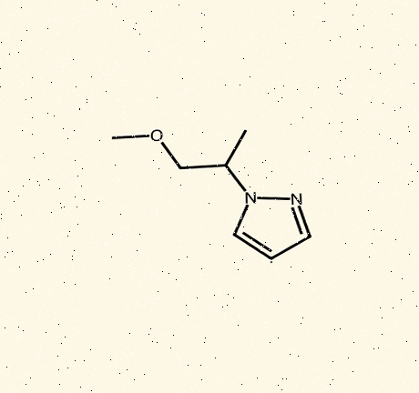 COCC(C)n1c[c]cn1